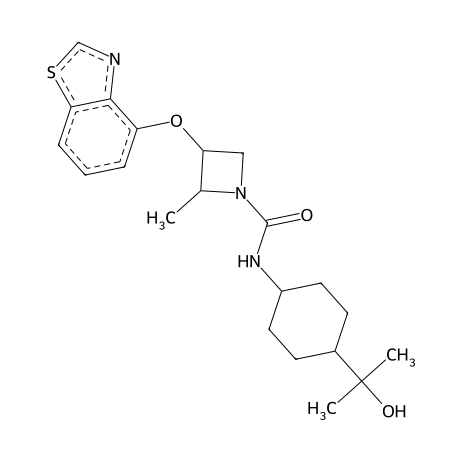 CC1C(Oc2cccc3scnc23)CN1C(=O)NC1CCC(C(C)(C)O)CC1